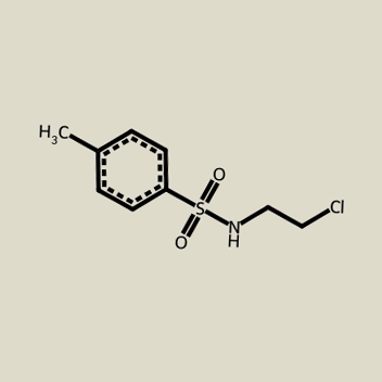 Cc1ccc(S(=O)(=O)NCCCl)cc1